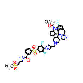 COC(=O)N[C@H]1CCC[C@@H]1C1(C2CCN(CC3CN(c4c(F)cc(S(=O)(=O)c5cccc(C(=O)NC/C=C/S(C)(=O)=O)c5)cc4F)C3)CC2)c2cc(F)cc(c2)Cc2nccn21